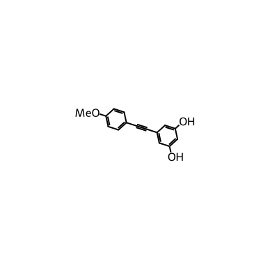 COc1ccc(C#Cc2cc(O)cc(O)c2)cc1